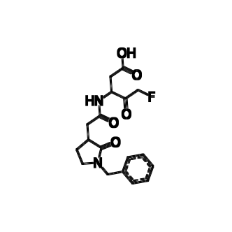 O=C(O)CC(NC(=O)CC1CCN(Cc2ccccc2)C1=O)C(=O)CF